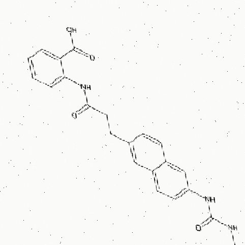 CCNC(=O)Nc1ccc2cc(CCC(=O)Nc3ccccc3C(=O)O)ccc2c1